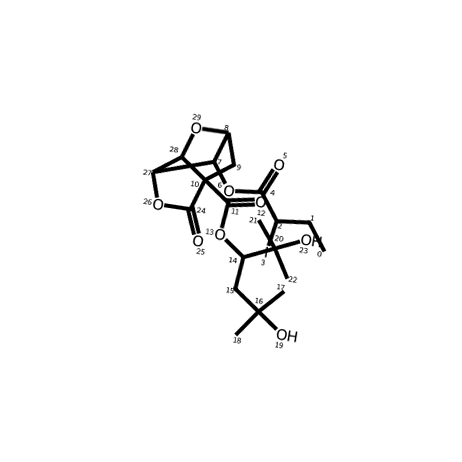 CCC(I)C(=O)OC1C2CC3(C(=O)OC(CC(C)(C)O)C(C)(C)O)C(=O)OC1C3O2